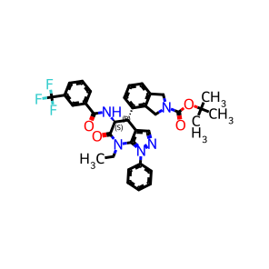 CCN1C(=O)[C@@H](NC(=O)c2cccc(C(F)(F)F)c2)[C@H](c2cccc3c2CN(C(=O)OC(C)(C)C)C3)c2cnn(-c3ccccc3)c21